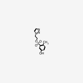 Cc1ccc(O)cc1S(=O)(=O)OCCn1ccnn1